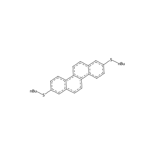 CCCCSc1ccc2c(ccc3c4ccc(SCCCC)cc4ccc23)c1